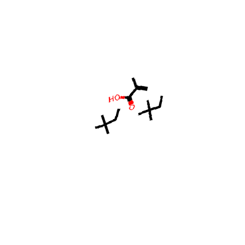 C=C(C)C(=O)O.CCC(C)(C)C.CCC(C)(C)C